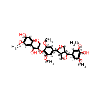 COc1cc(C(O)C(CO)Oc2c(OC)cc(C3OCC4C(c5cc(OC)c(O)c(OC)c5)OCC34)cc2OC)ccc1O